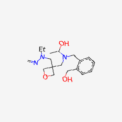 C=NN(CC)CC1(CN(Cc2ccccc2CO)C(C)O)COC1